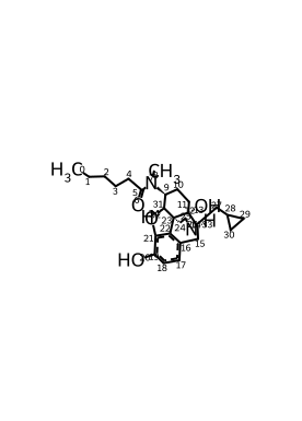 CCCCCC(=O)N(C)[C@H]1CC[C@@]2(O)[C@H]3Cc4ccc(O)c5c4[C@@]2(CCN3CC2CC2)[C@H]1O5